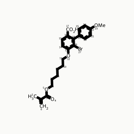 C=C(C)C(=O)OCCCCCCOc1ccc(C(=O)O)c(-c2ccc(OC)cc2)c1Br